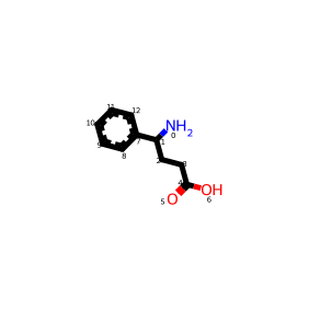 NC(CCC(=O)O)c1ccccc1